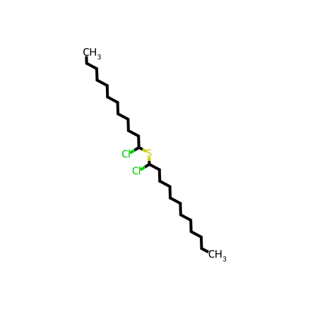 CCCCCCCCCCCC(Cl)SC(Cl)CCCCCCCCCCC